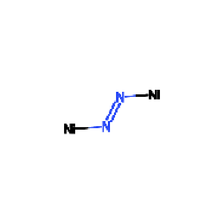 [Ni][N]=[N][Ni]